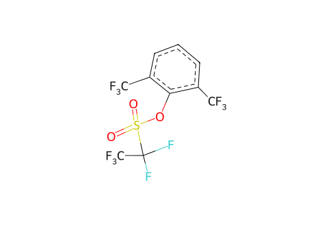 O=S(=O)(Oc1c(C(F)(F)F)cccc1C(F)(F)F)C(F)(F)C(F)(F)F